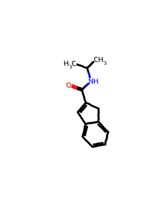 CC(C)NC(=O)C1=Cc2ccccc2C1